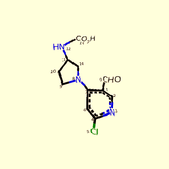 O=Cc1cnc(Cl)cc1N1CCC(NC(=O)O)C1